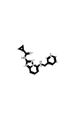 O=C(Nc1nc2cccc(NCc3cccnc3)n2n1)C1CC1